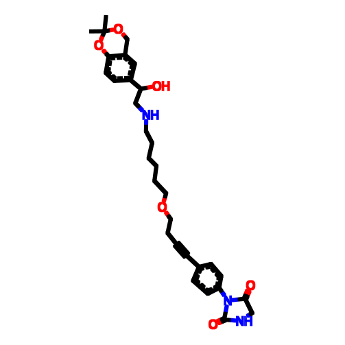 CC1(C)OCc2cc(C(O)CNCCCCCCOCCC#Cc3ccc(N4C(=O)CNC4=O)cc3)ccc2O1